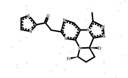 CC[C@@H]1CC[C@@]2(CC)c3nnc(C)n3-c3cnc(CC(=O)c4nccs4)nc3N12